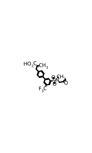 C[C@@H](Cc1ccc(-c2cc(C(F)(F)F)cc(S(=O)(=O)N(C)CC3CO3)c2)cc1)C(=O)O